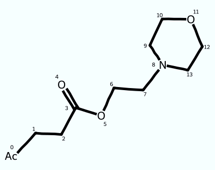 CC(=O)CCC(=O)OCCN1CCOCC1